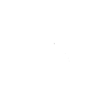 C=C(CCC(C)(C)C(=O)OCc1oc(=O)oc1C)C(C)C